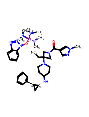 CN(C)[PH](On1nnc2ccccc21)(N(C)C)N(C)C.Cn1cc(C(=O)N2CC(CC#N)(N3CCC(N[C@@H]4C[C@H]4c4ccccc4)CC3)C2)cn1